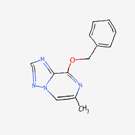 Cc1cn2ncnc2c(OCc2ccccc2)n1